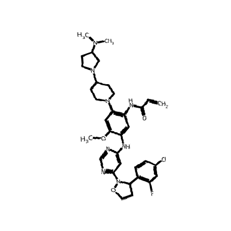 C=CC(=O)Nc1cc(Nc2cc(N3OCCC3c3ccc(Cl)cc3F)ncn2)c(OC)cc1N1CCC(N2CCC(N(C)C)C2)CC1